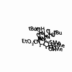 CCOC(=O)N(C[C@@H]1CC(O)(C(SC)(SC)SC)C[C@H]1NC(=NC(=O)OC(C)(C)C)NC(=O)OC(C)(C)C)C(C)=O